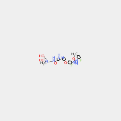 Cc1ccc(F)c(NC(=O)Nc2ccc(Oc3ccnc(-c4cc(C(=O)NCCCN(C)CC(O)CO)c[nH]4)c3)cc2F)c1